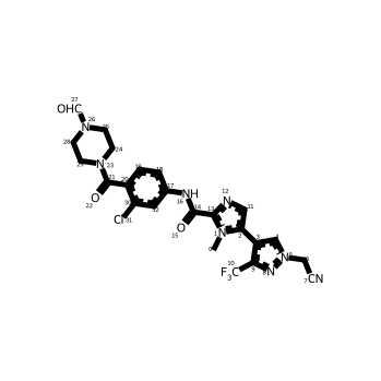 Cn1c(-c2cn(CC#N)nc2C(F)(F)F)cnc1C(=O)Nc1ccc(C(=O)N2CCN(C=O)CC2)c(Cl)c1